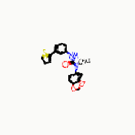 O=CN(C(=O)Nc1cccc(-c2cccs2)c1)c1ccc2c(c1)OCO2